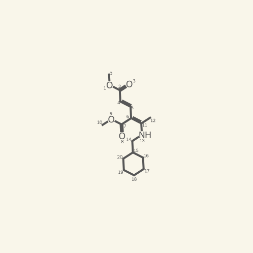 COC(=O)C=CC(C(=O)OC)=C(C)NCC1CCCCC1